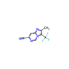 Cc1nc2cc(C#N)ncn2c1C(F)(F)F